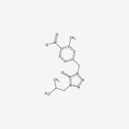 Cc1cc(Cn2nnn(CC(C)C)c2=O)ccc1[N+](=O)[O-]